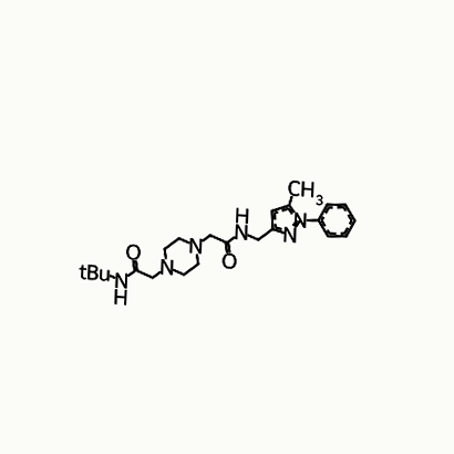 Cc1cc(CNC(=O)CN2CCN(CC(=O)NC(C)(C)C)CC2)nn1-c1ccccc1